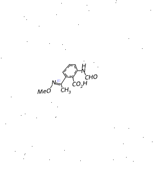 CO/N=C(\C)c1cccc(NC=O)c1C(=O)O